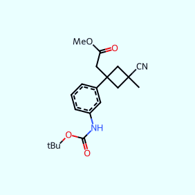 COC(=O)CC1(c2cccc(NC(=O)OC(C)(C)C)c2)CC(C)(C#N)C1